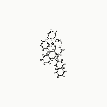 C[C@@]12C=CC=CC1c1cccc(-c3c4ccccc4c(-c4ccc5ccccc5c4)c4ccccc34)c1S2